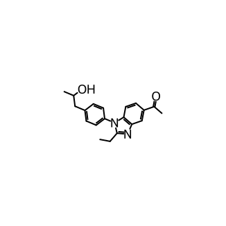 CCc1nc2cc(C(C)=O)ccc2n1-c1ccc(CC(C)O)cc1